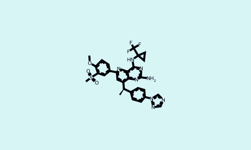 COc1ccc(-c2cc([C@H](C)c3ccc(-n4cncn4)cc3)c3nc(N)nc(NC4(C(F)(F)F)CC4)c3n2)cc1S(C)(=O)=O